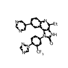 CCc1nc2ccc(-c3cncnc3)cc2c2c1[nH]c(=O)n2-c1ccc(-n2cncn2)c(C(F)(F)F)c1